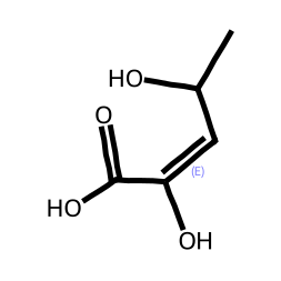 CC(O)/C=C(/O)C(=O)O